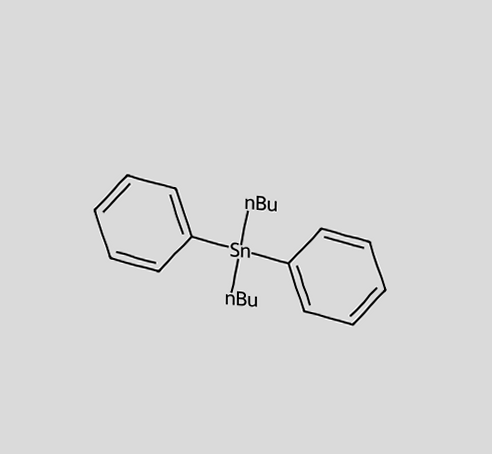 CCC[CH2][Sn]([CH2]CCC)([c]1ccccc1)[c]1ccccc1